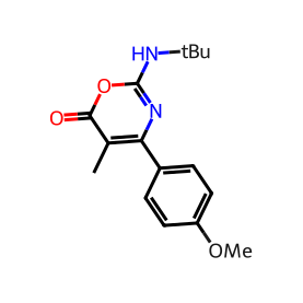 COc1ccc(-c2nc(NC(C)(C)C)oc(=O)c2C)cc1